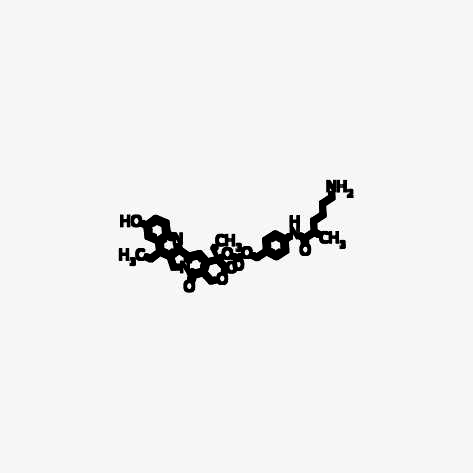 CCc1c2c(nc3ccc(O)cc13)-c1cc3c(c(=O)n1C2)COC(=O)[C@@]3(CC)OC(=O)OCc1ccc(NC(=O)C(C)CCCCN)cc1